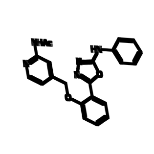 CC(=O)Nc1cc(COc2ccccc2-c2nnc(Nc3ccccc3)o2)ccn1